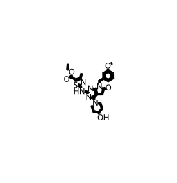 CCOC(=O)c1sc(Nc2nc(N3CCC(O)CC3)c3c(n2)N(Cc2cccc(OC)c2)C(=O)C3)nc1C